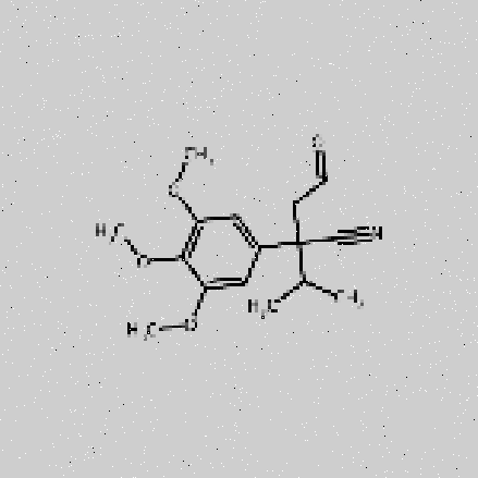 COc1cc(C(C#N)(CC=O)C(C)C)cc(OC)c1OC